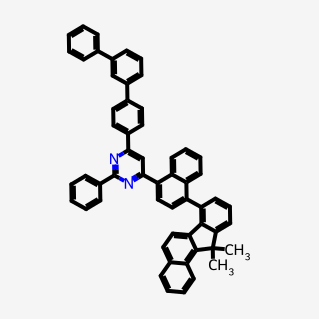 CC1(C)c2cccc(-c3ccc(-c4cc(-c5ccc(-c6cccc(-c7ccccc7)c6)cc5)nc(-c5ccccc5)n4)c4ccccc34)c2-c2ccc3ccccc3c21